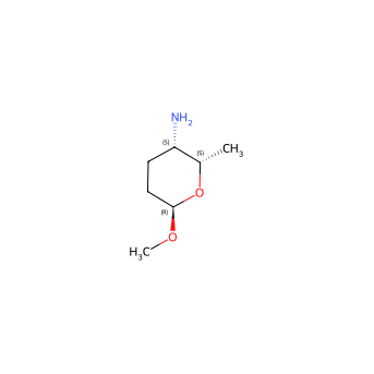 CO[C@H]1CC[C@H](N)[C@H](C)O1